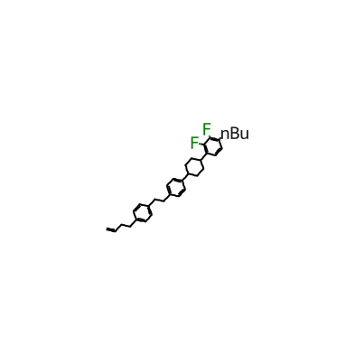 C=CCCc1ccc(CCc2ccc(C3CCC(c4ccc(CCCC)c(F)c4F)CC3)cc2)cc1